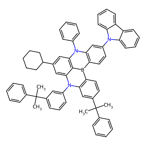 CC(C)(c1ccccc1)c1cccc(N2c3cc(C(C)(C)c4ccccc4)ccc3B3c4ccc(-n5c6ccccc6c6ccccc65)cc4N(c4ccccc4)c4cc(C5CCCCC5)cc2c43)c1